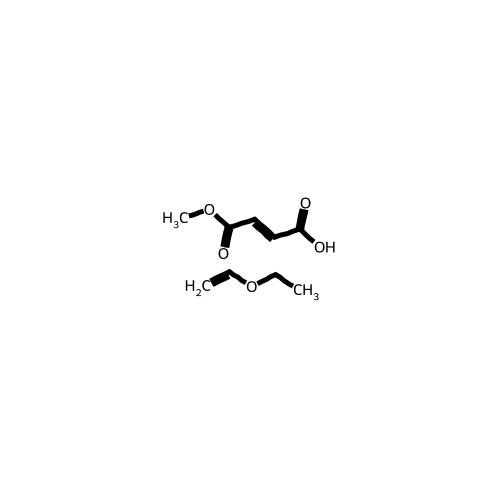 C=COCC.COC(=O)C=CC(=O)O